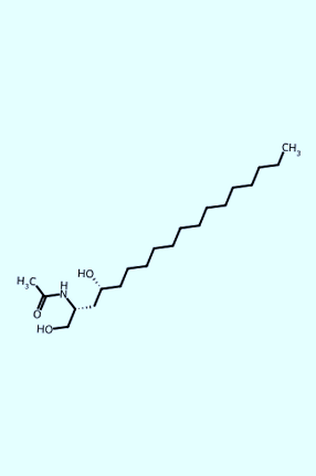 CCCCCCCCCCCCCC[C@@H](O)C[C@H](CO)NC(C)=O